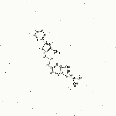 Cc1nc(-c2ccccc2)sc1CCOc1ccc2c(c1)OC1C(C(=O)O)C21